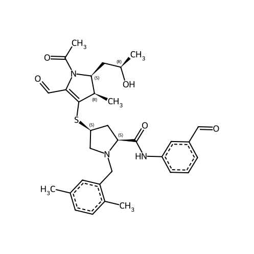 CC(=O)N1C(C=O)=C(S[C@H]2C[C@@H](C(=O)Nc3cccc(C=O)c3)N(Cc3cc(C)ccc3C)C2)[C@H](C)[C@@H]1C[C@@H](C)O